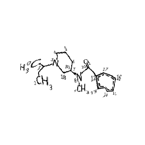 CC(C)N1CCC[C@@H](N(C)C(=O)c2ccccc2)C1